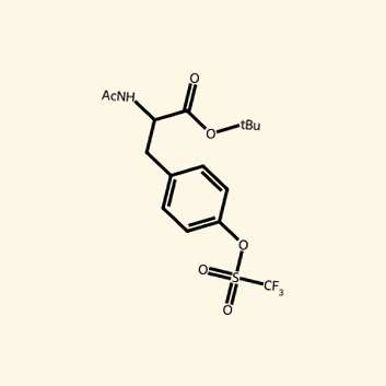 CC(=O)NC(Cc1ccc(OS(=O)(=O)C(F)(F)F)cc1)C(=O)OC(C)(C)C